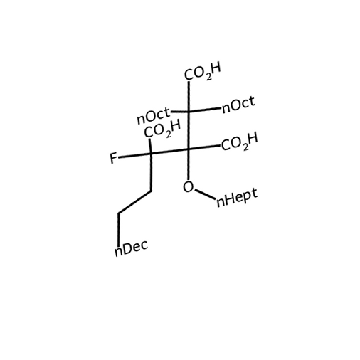 CCCCCCCCCCCCC(F)(C(=O)O)C(OCCCCCCC)(C(=O)O)C(CCCCCCCC)(CCCCCCCC)C(=O)O